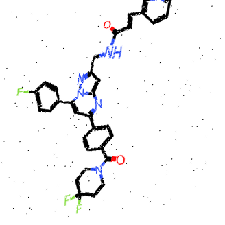 Nc1ccc(/C=C/C(=O)NCc2cc3nc(-c4ccc(C(=O)N5CCC(F)(F)CC5)cc4)cc(-c4ccc(F)cc4)n3n2)cn1